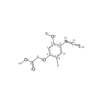 COC(=O)COc1cc(OC)c(N=C=S)cc1C